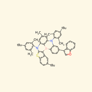 Cc1cc2c3c(c1)N(c1c(C)cc(C(C)(C)C)cc1C)c1sc4ccc(C(C)(C)C)cc4c1B3c1ccc(-c3coc4ccccc34)cc1N2c1c(C)cc(C(C)(C)C)cc1C